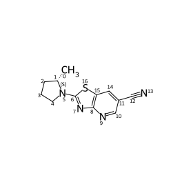 C[C@H]1CCCN1c1nc2ncc(C#N)cc2s1